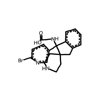 O=C(O)NC1(c2ccc(Br)nc2)c2ccccc2CC12CCNCC2